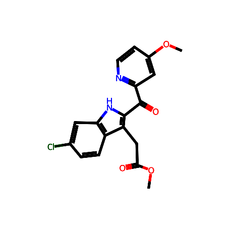 COC(=O)Cc1c(C(=O)c2cc(OC)ccn2)[nH]c2cc(Cl)ccc12